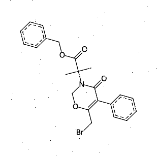 CC(C)(C(=O)OCc1ccccc1)N1COC(CBr)=C(c2ccccc2)C1=O